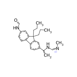 C=C(N/C=N\C)c1ccc2c(c1)C(CCC)(CCC)c1cc(NC=O)ccc1-2